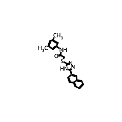 Cc1cc(C)cc(NC(=O)CSc2nnc(-c3ccc4ccccc4c3)[nH]2)c1